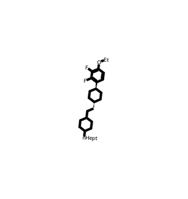 CCCCCCCC1CCC(CC[C@H]2CC[C@H](c3ccc(OCC)c(F)c3F)CC2)CC1